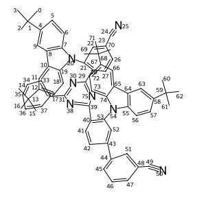 CC(C)(C)c1ccc2c(c1)c1cc(C(C)(C)C)ccc1n2-c1cc(C#N)ccc1-c1nc(-c2ccccc2)nc(-c2ccc(-c3cccc(C#N)c3)cc2-n2c3ccc(C(C)(C)C)cc3c3cc(C(C)(C)C)ccc32)n1